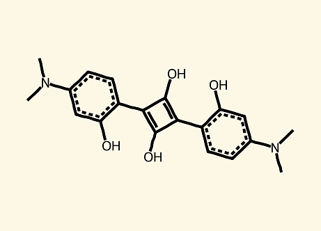 CN(C)c1ccc(C2=C(O)C(c3ccc(N(C)C)cc3O)=C2O)c(O)c1